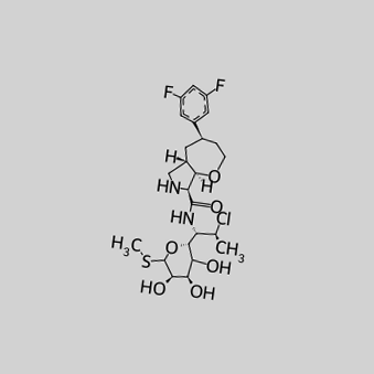 CSC1O[C@H]([C@H](NC(=O)[C@H]2NC[C@@H]3C[C@@H](c4cc(F)cc(F)c4)CCO[C@H]32)[C@H](C)Cl)C(O)[C@@H](O)[C@H]1O